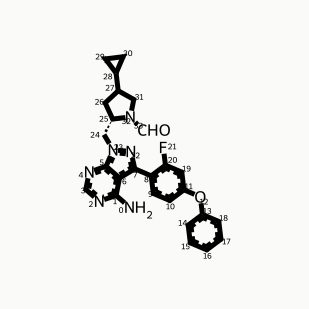 Nc1ncnc2c1c(-c1ccc(Oc3ccccc3)cc1F)nn2C[C@@H]1CC(C2[CH]C2)CN1C=O